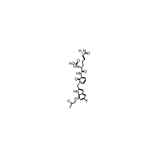 NC(=O)/C=C/CC[C@H](NC(=O)O)C(=O)Nc1cccn(Cc2cc3cc(F)cc(OCC(F)F)c3[nH]2)c1=O